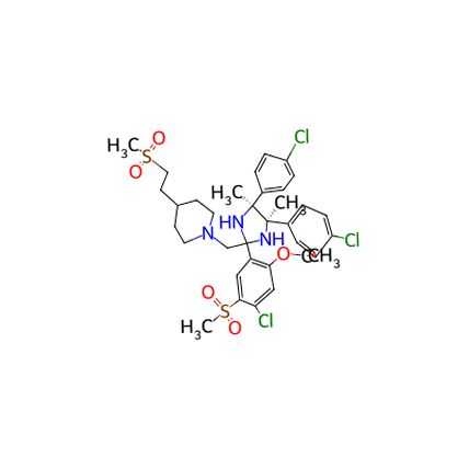 CCOc1cc(Cl)c(S(C)(=O)=O)cc1C1(CN2CCC(CCS(C)(=O)=O)CC2)N[C@@](C)(c2ccc(Cl)cc2)[C@@](C)(c2ccc(Cl)cc2)N1